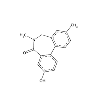 Cc1ccc2c(c1)CN(C)C(=O)c1cc(O)ccc1-2